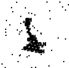 C[P@@](=O)(O)OCCCCCCNC(=O)c1ccc(C(=O)O)c(-c2c3ccc(=O)cc-3oc3cc(O)ccc23)c1